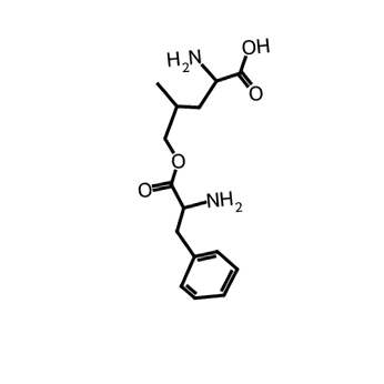 CC(COC(=O)C(N)Cc1ccccc1)CC(N)C(=O)O